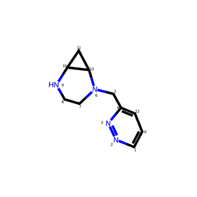 c1cnnc(CN2CCNC3CC32)c1